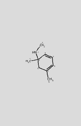 CNC1(C)C=CC=C(C)C1